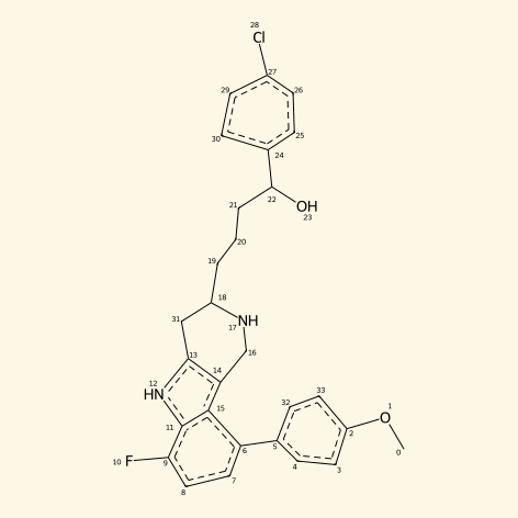 COc1ccc(-c2ccc(F)c3[nH]c4c(c23)CNC(CCCC(O)c2ccc(Cl)cc2)C4)cc1